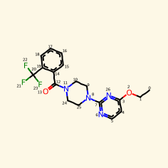 CCOc1ccnc(N2CCN(C(=O)c3ccccc3C(F)(F)F)CC2)n1